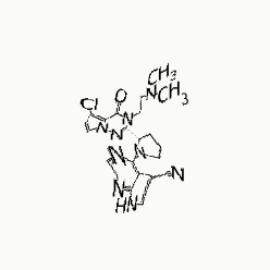 CN(C)CCn1c([C@@H]2CCCN2c2ncnc3[nH]cc(C#N)c23)nn2ccc(Cl)c2c1=O